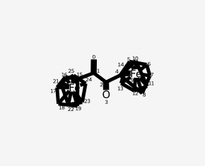 C=C(C(=O)[C]12[CH]3[CH]4[CH]5[CH]1[Fe]45321678[CH]2[CH]1[CH]6[CH]7[CH]28)[C]12[CH]3[CH]4[CH]5[CH]1[Fe]45321678[CH]2[CH]1[CH]6[CH]7[CH]28